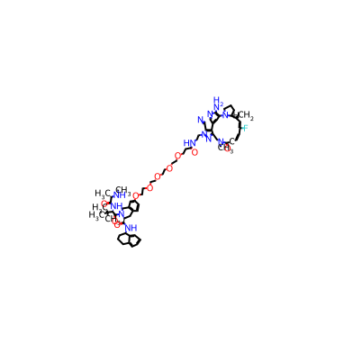 C=C1/C=C(F)\C=C/CC(=O)N(C)Cc2nn(CCNC(=O)CCOCCOCCOCCOCCOc3ccc4c(c3)CN(C(=O)[C@@H](NC(=O)[C@H](C)NC)C(C)(C)C)[C@H](C(=O)N[C@@H]3CCCc5ccccc53)C4)c(C#N)c2-c2cnc(N)c(c2)N2CCC[C@H]12